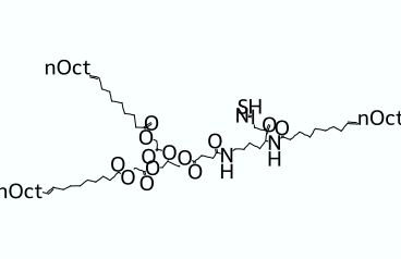 CCCCCCCC/C=C/CCCCCCCC(=O)NC(CCCCNC(=O)CCC(=O)OCC(COC(=O)COC(=O)CCCCCCC/C=C/CCCCCCCC)OC(=O)COC(=O)CCCCCCC/C=C/CCCCCCCC)C(=O)CI=NS